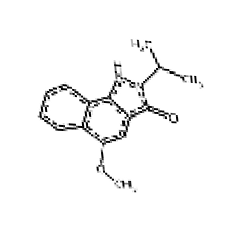 COc1cc2c(=O)n(C(C)C)[nH]c2c2ccccc12